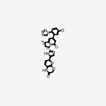 C[C@@H]1C[C@@H](c2ncc(-c3ccc4c(n3)OCC(=O)N4)[nH]2)n2c1cc(-c1cc(Cl)ccc1-n1cnnn1)cc2=O